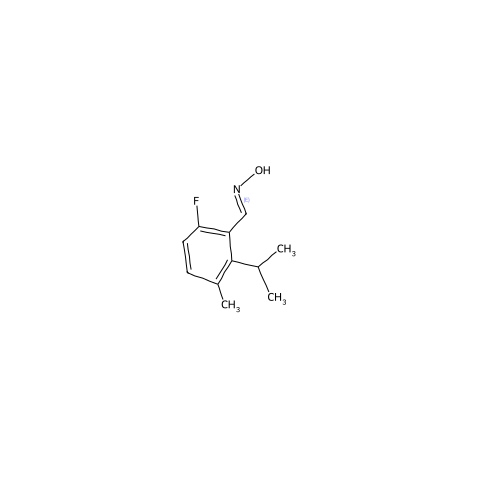 Cc1ccc(F)c(/C=N/O)c1C(C)C